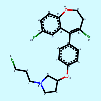 FCCCN1CCC(Oc2ccc(C3=C(Br)CCOc4ccc(F)cc43)cc2)C1